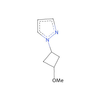 COC1CC(n2cccn2)C1